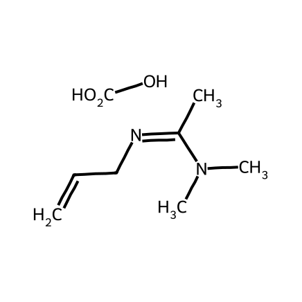 C=CCN=C(C)N(C)C.O=C(O)O